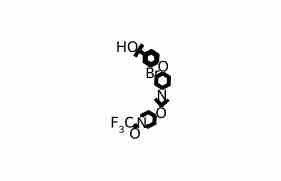 CC(C)(O)c1ccc(OC2CCC(N3CC(OC4CCN(C(=O)C(F)(F)F)CC4)C3)CC2)c(Br)c1